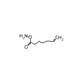 C=CCCCCC(=O)ON